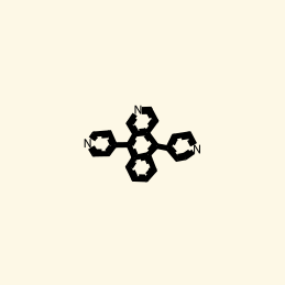 c1ccc2c(-c3ccncc3)c3cnccc3c(-c3ccncc3)c2c1